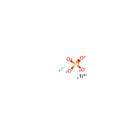 O=P([O-])([O-])[O-].[F-].[Ti+4]